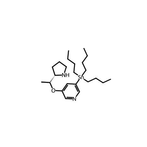 CCC[CH2][Sn]([CH2]CCC)([CH2]CCC)[c]1cncc(OC(C)[C@@H]2CCCN2)c1